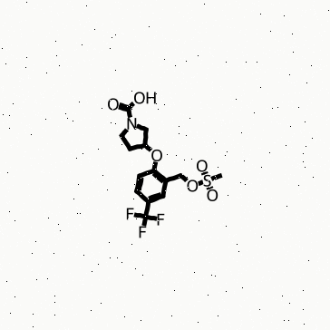 CS(=O)(=O)OCc1cc(C(F)(F)F)ccc1OC1CCN(C(=O)O)C1